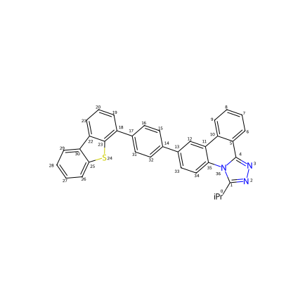 CC(C)c1nnc2c3ccccc3c3cc(-c4ccc(-c5cccc6c5sc5ccccc56)cc4)ccc3n12